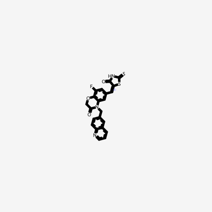 O=C1NC(=S)S/C1=C/c1cc(F)c2c(c1)N(Cc1ccc3ncccc3c1)C(=O)CO2